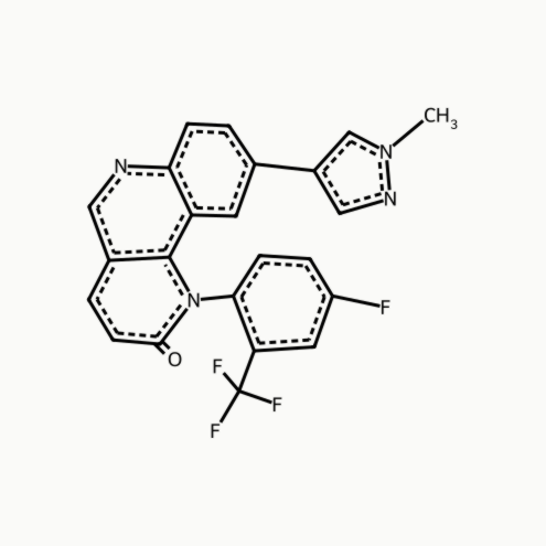 Cn1cc(-c2ccc3ncc4ccc(=O)n(-c5ccc(F)cc5C(F)(F)F)c4c3c2)cn1